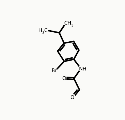 CC(C)c1ccc(NC(=O)[C]=O)c(Br)c1